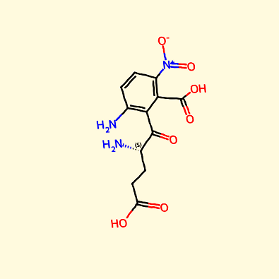 Nc1ccc([N+](=O)[O-])c(C(=O)O)c1C(=O)[C@@H](N)CCC(=O)O